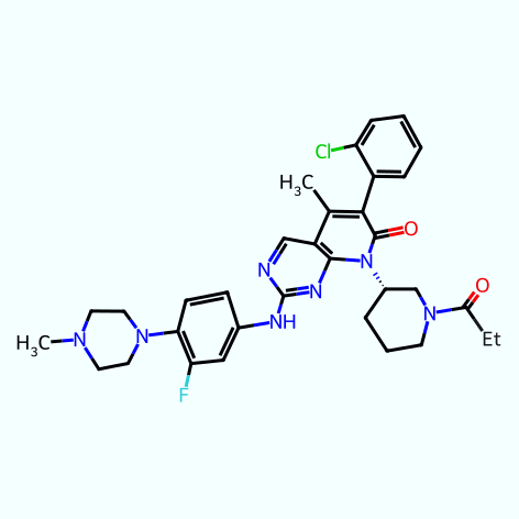 CCC(=O)N1CCC[C@H](n2c(=O)c(-c3ccccc3Cl)c(C)c3cnc(Nc4ccc(N5CCN(C)CC5)c(F)c4)nc32)C1